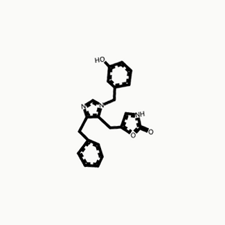 O=c1[nH]cc(Cc2c(Cc3ccccc3)ncn2Cc2cccc(O)c2)o1